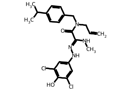 C=CCN(Cc1ccc(C(C)C)cc1)C(=O)/C(=N/Nc1cc(Cl)c(O)c(Cl)c1)NC